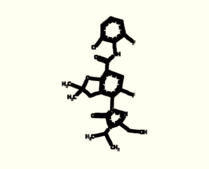 CC(C)n1c(CO)nn(-c2c(F)cc(C(=O)Nc3c(F)cccc3Cl)c3c2CC(C)(C)O3)c1=O